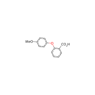 COc1ccc(Oc2ccccc2C(=O)O)cc1